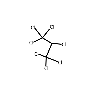 ClC(C(Cl)(Cl)Cl)C(Cl)(Cl)Cl